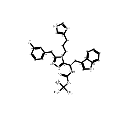 CC(C)(C)OC(=O)N[C@H](Cc1c[nH]c2ccccc12)c1nnc(Cc2cccc(Cl)c2)n1CCCc1c[nH]cn1